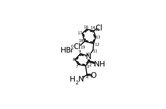 Br.N=c1c(C(N)=O)cccn1Cc1cc(Cl)ccc1Cl